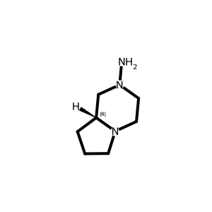 NN1CCN2CCC[C@@H]2C1